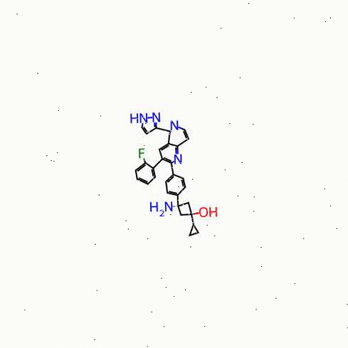 N[C@]1(c2ccc(-c3nc4ccnc(-c5cc[nH]n5)c4cc3-c3ccccc3F)cc2)C[C@](O)(C2CC2)C1